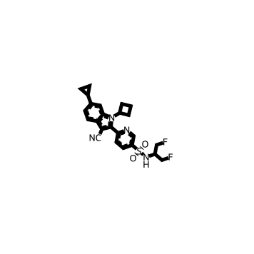 N#Cc1c(-c2ccc(S(=O)(=O)NC(CF)CF)cn2)n(C2CCC2)c2cc(C3CC3)ccc12